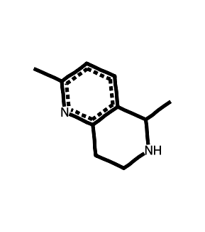 Cc1ccc2c(n1)CCNC2C